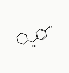 CC(C)c1ccc(CN2CCCCC2)cc1.Cl